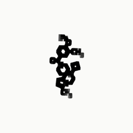 Cc1cc(C(=O)N2CCC3(CC2)c2ccc(C(F)(F)F)n2CCN3C2CCC2)ccc1OC(C)C